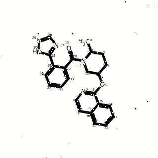 CC1CCC(Oc2nccc3ccccc23)CN1C(=O)c1ccccc1-c1ncn[nH]1